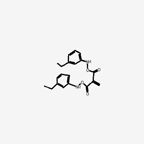 C=C(C(=O)ONc1cccc(CC)c1)C(=O)ONc1cccc(CC)c1